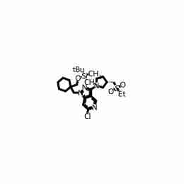 CCS(=O)(=O)C[C@H]1CCN(c2nn(CC3(CO[Si](C)(C)C(C)(C)C)CCCCC3)c3cc(Cl)ncc23)C1